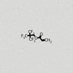 C=CC(=O)OCC(C(F)(F)F)(C(F)(F)F)C(F)(F)F